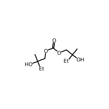 CCC(C)(O)COC(=O)OCC(C)(O)CC